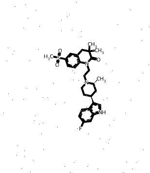 C[C@@H]1C[C@@H](c2c[nH]c3cc(F)ccc23)CCN1CCN1C(=O)C(C)(C)Cc2cc(S(C)(=O)=O)ccc21